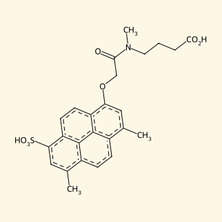 Cc1cc(OCC(=O)N(C)CCCC(=O)O)c2ccc3c(S(=O)(=O)O)cc(C)c4ccc1c2c43